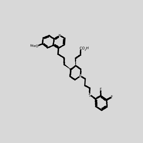 COc1ccc2nccc(CCC[C@@H]3CCN(CCCSc4cccc(F)c4F)C[C@@H]3CCC(=O)O)c2c1